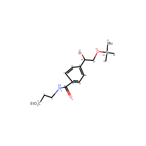 CCOC(=O)CCNC(=O)c1ccc(C(Br)CO[Si](C)(C)C(C)(C)C)cc1